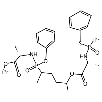 CC(C)OC(=O)[C@H](C)NP(=O)(Oc1ccccc1)C(C)CCC(C)OC(=O)[C@@H](C)NP(=O)(Sc1ccccc1)C(C)C